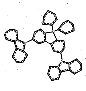 c1ccc([Si]2(c3ccccc3)c3ccc(-n4c5ccccc5c5ccccc54)cc3-c3cc(-n4c5ccccc5c5ccccc54)ccc32)cc1